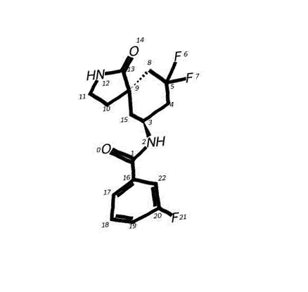 O=C(N[C@@H]1CC(F)(F)C[C@@]2(CCNC2=O)C1)c1cccc(F)c1